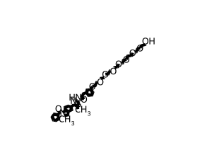 Cc1ccccc1C(=O)N1CCc2cc(-c3nc(NC(=O)Cc4cccc(OCCOCCOCCOCCOCCOCCOCCOCCO)c4)sc3C)ccc21